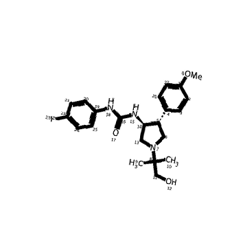 COc1ccc([C@@H]2CN(C(C)(C)CO)C[C@H]2NC(=O)Nc2ccc(F)cc2)cc1